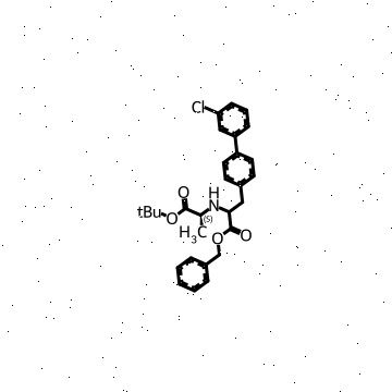 C[C@H](NC(Cc1ccc(-c2cccc(Cl)c2)cc1)C(=O)OCc1ccccc1)C(=O)OC(C)(C)C